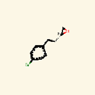 Brc1ccc(CC[C@@H]2CO2)cc1